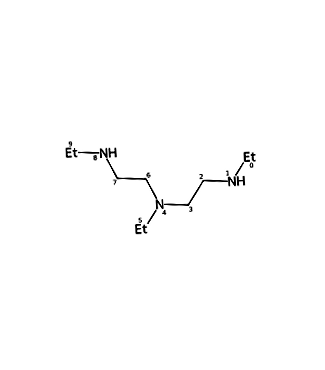 CCNCCN(CC)CCNCC